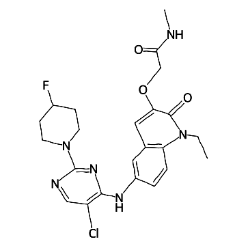 CCn1c(=O)c(OCC(=O)NC)cc2cc(Nc3nc(N4CCC(F)CC4)ncc3Cl)ccc21